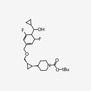 CC(C)(C)OC(=O)N1CCC([C@H]2C[C@H]2COCC2=CC(F)C(C(O)C3CC3)C(F)=C2)CC1